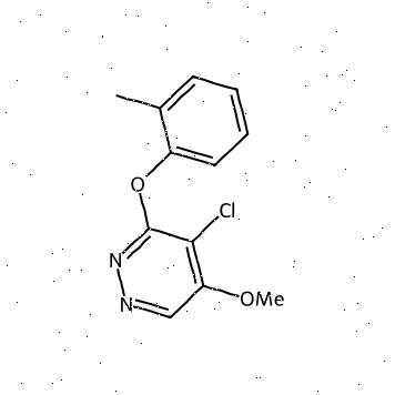 COc1cnnc(Oc2ccccc2C)c1Cl